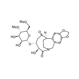 COC[C@H]1O[C@H](O[C@@H]2CC(=O)[C@@H]3CCN(Cc4cc5c(cc43)OCO5)C(=O)[C@H]2O)[C@@H](O)[C@@H](O)[C@@H]1OC